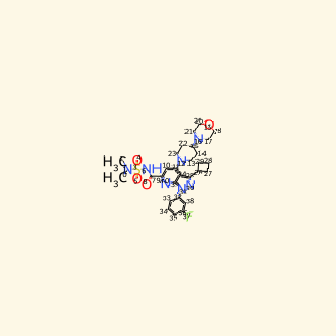 CN(C)S(=O)(=O)NC(=O)c1cc(N2CCC(N3CCOCC3)CC2)c2c(C3CCC3)nn(-c3cccc(F)c3)c2n1